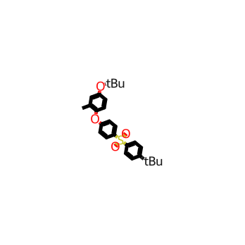 Cc1cc(OC(C)(C)C)ccc1Oc1ccc(S(=O)(=O)c2ccc(C(C)(C)C)cc2)cc1